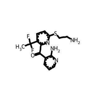 CC(F)(F)c1ccc(SCCN)nc1C(=O)c1cccnc1N